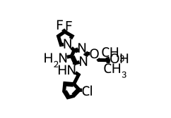 CC(C)(O)COc1nc(NCc2ccccc2Cl)c(N)c(N2CCC(F)(F)C2)n1